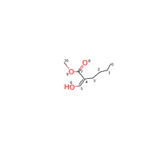 CCCCC(=CO)C(=O)OC